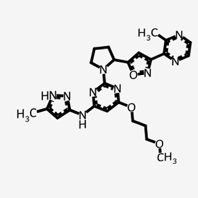 COCCCOc1cc(Nc2cc(C)[nH]n2)nc(N2CCCC2c2cc(-c3nccnc3C)no2)n1